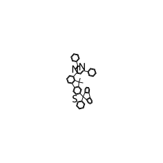 CC1(C)c2cc3c(cc2-c2cccc(-c4cc(-c5ccccc5)nc(-c5ccccc5)n4)c21)Sc1ccccc1C31c2ccccc2-c2ccccc21